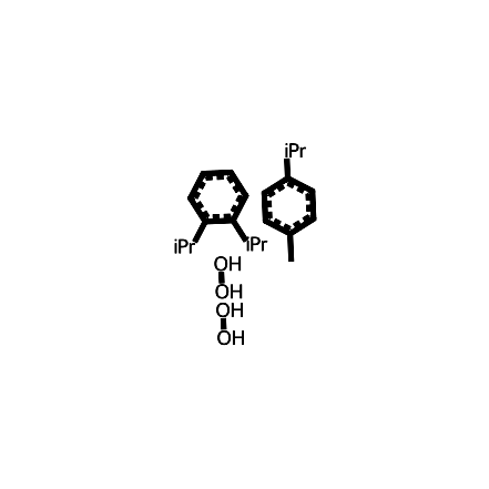 CC(C)c1ccccc1C(C)C.Cc1ccc(C(C)C)cc1.OO.OO